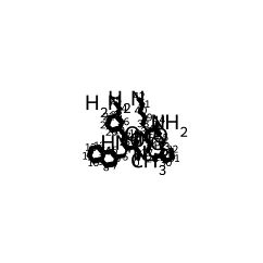 CN(C(=O)[C@@H](Cc1ccc2ccccc2c1)NC(=O)c1cccc(CN)c1)[C@H](Cc1cccs1)C(=O)N[C@@H](CCCCN)C(N)=O